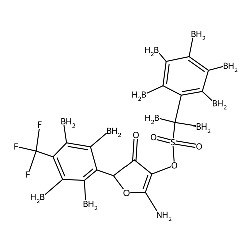 Bc1c(B)c(B)c(C(B)(B)S(=O)(=O)OC2=C(N)OC(c3c(B)c(B)c(C(F)(F)F)c(B)c3B)C2=O)c(B)c1B